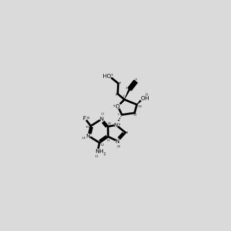 C#C[C@]1(CCO)O[C@@H](n2cnc3c(N)nc(F)nc32)C[C@@H]1O